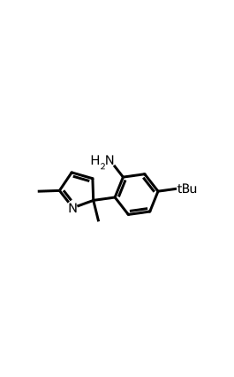 CC1=NC(C)(c2ccc(C(C)(C)C)cc2N)C=C1